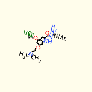 CNC(N)=NC(=O)c1cc2c(OC(C)C)cc(OCCCN(C)C)cc2[nH]1.Cl.Cl